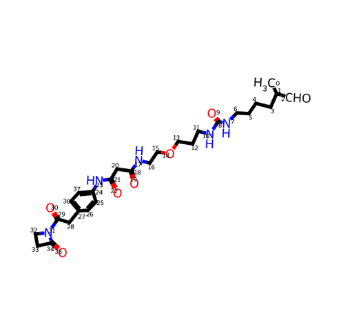 CC(C=O)CCCCNC(=O)NCCCOCCNC(=O)CC(=O)Nc1ccc(CC(=O)N2CCC2=O)cc1